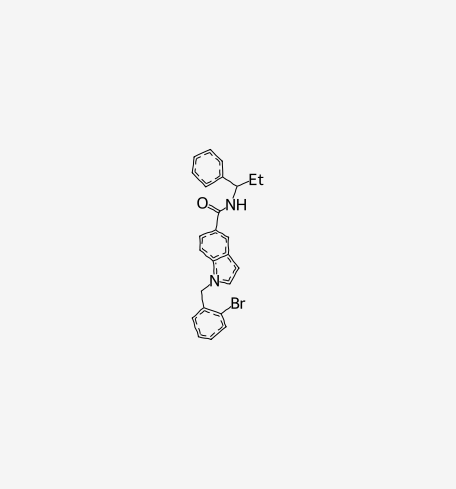 CCC(NC(=O)c1ccc2c(ccn2Cc2ccccc2Br)c1)c1ccccc1